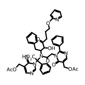 CC(=O)OCc1cncn(C(C(=O)O)(c2ccccc2)N(C(=O)Cn2c(-c3ccccc3)ncc(COC(C)=O)c2=O)C(Cc2ccccc2)C(O)C(=O)CCCOc2ccccn2)c1=O